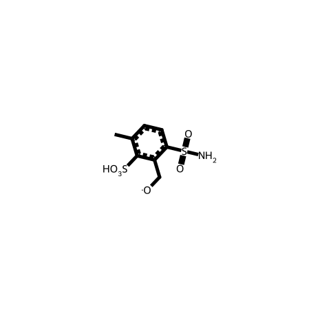 Cc1ccc(S(N)(=O)=O)c(C[O])c1S(=O)(=O)O